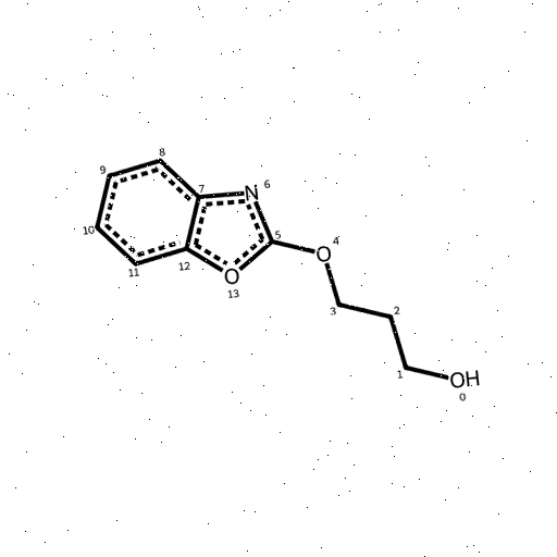 OCCCOc1nc2ccccc2o1